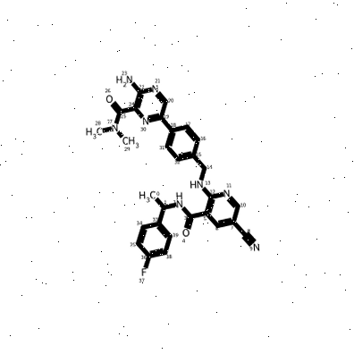 CC(NC(=O)c1cc(C#N)cnc1NCc1ccc(-c2cnc(N)c(C(=O)N(C)C)n2)cc1)c1ccc(F)cc1